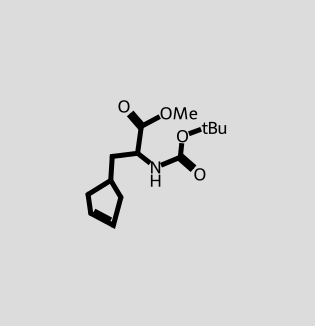 COC(=O)C(CC1CC=CC1)NC(=O)OC(C)(C)C